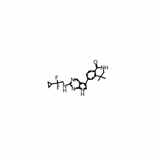 CC1(C)CNC(=O)c2ccc(-c3c[nH]c4nc(NCC(F)(F)C5CC5)ncc34)cc21